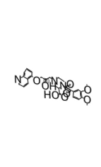 COc1ccc(S(=O)(=O)N2CCN(C[C@@H](O)COc3cccc4ncccc34)CC2C(=O)O)cc1OC